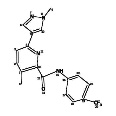 Cc1ccc(-c2cnn(C)c2)nc1C(=O)Nc1ccc(C(F)(F)F)cc1